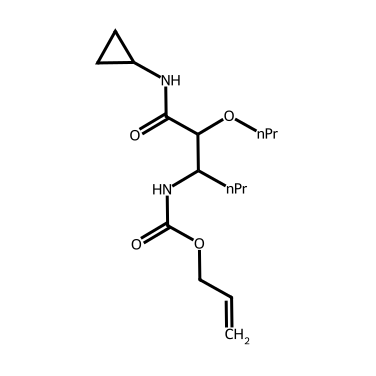 C=CCOC(=O)NC(CCC)C(OCCC)C(=O)NC1CC1